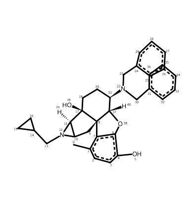 Cc1ccc(O)c2c1[C@]13CC4[C@@H](N4CC4CC4)[C@]1(O)CC[C@@H](N(Cc1ccccc1)Cc1ccccc1)[C@@H]3O2